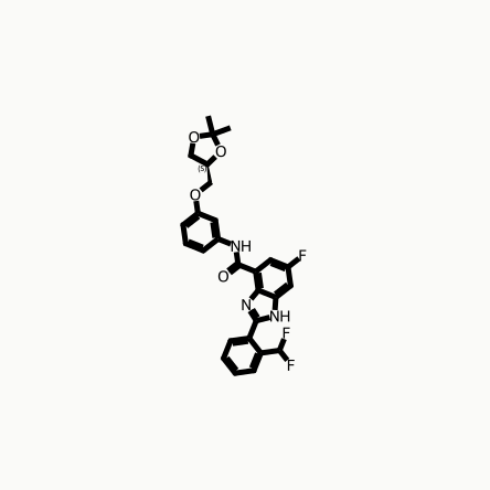 CC1(C)OC[C@H](COc2cccc(NC(=O)c3cc(F)cc4[nH]c(-c5ccccc5C(F)F)nc34)c2)O1